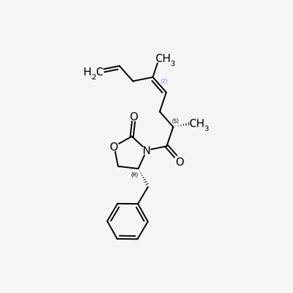 C=CC/C(C)=C\C[C@H](C)C(=O)N1C(=O)OC[C@H]1Cc1ccccc1